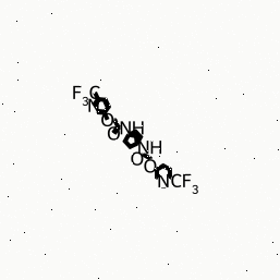 CN1CC(OCC(=O)NC23CCC(NC(=O)COc4ccc(C(F)(F)F)nc4)(CC2)C3)CCC1C(F)(F)F